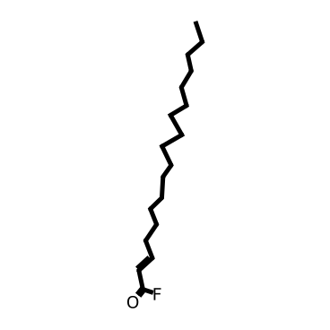 CCCCCCCCCCCCCCC/C=C/C(=O)F